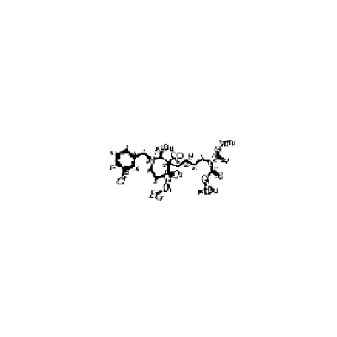 CCOP1(=O)CCN(Cc2cccc(Cl)c2)C(C(C)(C)C)C1(CCCCN(C(=O)OC(C)(C)C)C(=O)OC(C)(C)C)C(=O)O